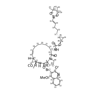 COc1c(Br)c(O[C@@H]2C[C@H]3C(=O)N[C@]4(C(=O)O)C[C@H]4C=CCCCCC[C@H](NC(=O)O[C@@H]4C[C@H]4CCCC=CB4OC(C)(C)C(C)(C)O4)C(=O)N3C2)nc2ccccc12